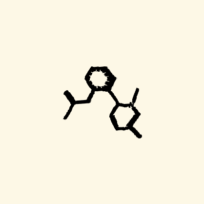 C=C(C)Cc1ccccc1C1C=CC(C)=CN1C